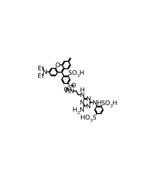 C=c1ccc2c(c1)Oc1cc(N(CC)CC)ccc1C=2c1ccc(S(=O)(=O)NCCNc2nc(N)nc(Nc3cc(S(=O)(=O)O)ccc3S(=O)(=O)O)n2)cc1S(=O)(=O)O